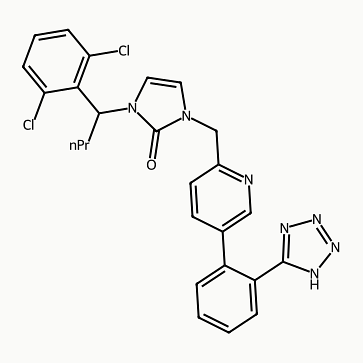 CCCC(c1c(Cl)cccc1Cl)n1ccn(Cc2ccc(-c3ccccc3-c3nnn[nH]3)cn2)c1=O